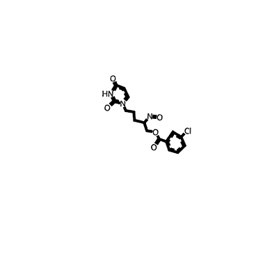 O=NC(CCCn1ccc(=O)[nH]c1=O)COC(=O)c1cccc(Cl)c1